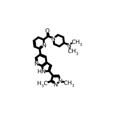 Cc1nn(C)cc1-c1cc2cc(C3=NC(C(=O)N4CCC(N(C)C)CC4)CC=C3)cnc2[nH]1